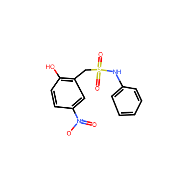 O=[N+]([O-])c1ccc(O)c(CS(=O)(=O)Nc2ccccc2)c1